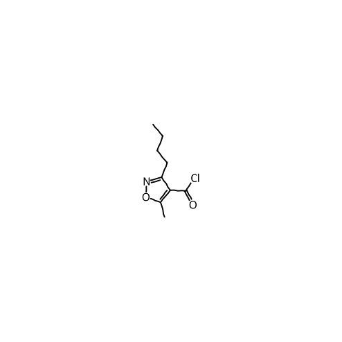 CCCCc1noc(C)c1C(=O)Cl